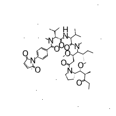 CCC(=O)[C@H](C)[C@@H](OC)[C@@H]1CCCN1C(=O)C[C@@H](OC)C([C@@H](C)CC)N(C)C(=O)[C@@H](NC(=O)[C@H](C(C)C)N(C)C(=O)c1ccc(N2C(=O)C=CC2=O)cc1)C(C)C